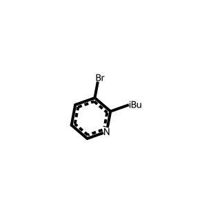 [CH2]C(CC)c1ncccc1Br